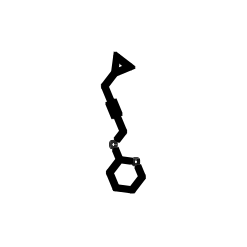 C(#CCC1CC1)COC1CCCCO1